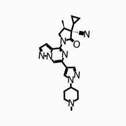 C[C@@H]1CN(c2nc(-c3cnn(C4CCN(C)CC4)c3)cn3nccc23)C(=O)[C@]1(C#N)C1CC1